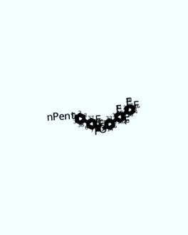 CCCCCc1ccc(-c2ccc(C(F)(F)Oc3ccc(-c4cc(F)c(-c5ccc(F)c(F)c5)c(F)c4)cc3)c(F)c2)cc1